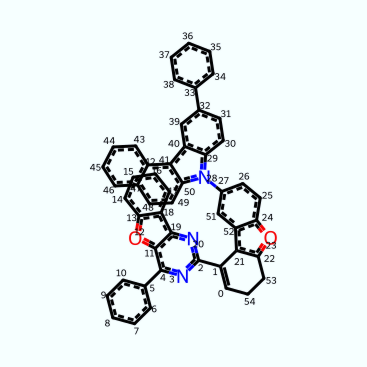 C1=C(c2nc(-c3ccccc3)c3oc4ccccc4c3n2)c2c(oc3ccc(-n4c5ccc(-c6ccccc6)cc5c5c6ccccc6ccc54)cc23)CC1